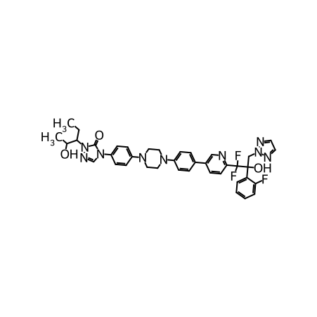 CCC(C(C)O)n1ncn(-c2ccc(N3CCN(c4ccc(-c5ccc(C(F)(F)C(O)(Cn6nccn6)c6ccccc6F)nc5)cc4)CC3)cc2)c1=O